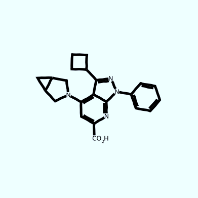 O=C(O)c1cc(N2CC3CC3C2)c2c(C3CCC3)nn(-c3ccccc3)c2n1